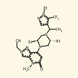 CC[C@H]1CN(C(C)c2cnn(CC)c2C(F)(F)F)[C@H](CC)CN1c1cc(=O)n(C)c2cn(CC#N)nc12